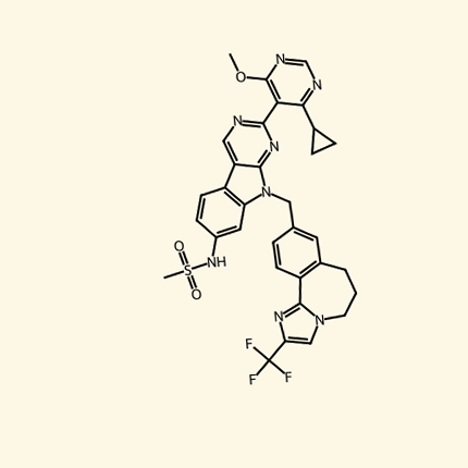 COc1ncnc(C2CC2)c1-c1ncc2c3ccc(NS(C)(=O)=O)cc3n(Cc3ccc4c(c3)CCCn3cc(C(F)(F)F)nc3-4)c2n1